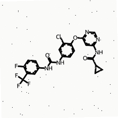 O=C(Nc1ccc(Oc2cc(NC(=O)C3CC3)ncn2)c(Cl)c1)Nc1ccc(F)c(C(F)(F)F)c1